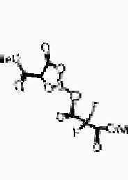 COC(=O)C1OB(OC(=O)C(F)(F)C(=O)OC)OC1=O